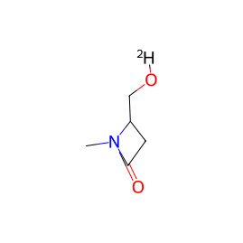 [2H]OCC1CC(=O)N1C